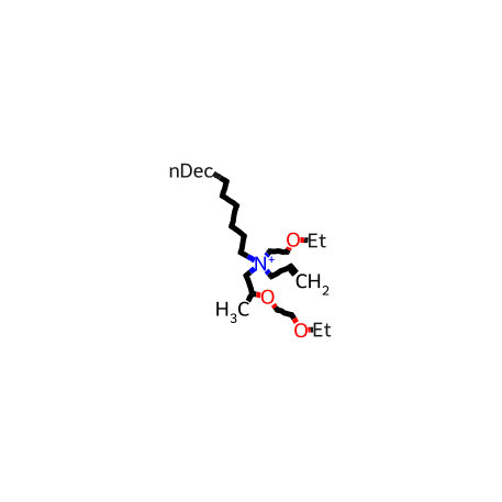 C=CC[N+](CCCCCCCCCCCCCCCC)(CCOCC)CC(C)OCCOCC